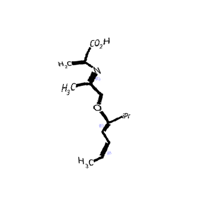 C=C(/N=C(\C)CO/C(=C/C=C\C)C(C)C)C(=O)O